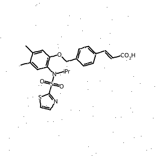 Cc1cc(OCc2ccc(C=CC(=O)O)cc2)c(N(C(C)C)S(=O)(=O)c2nccs2)cc1C